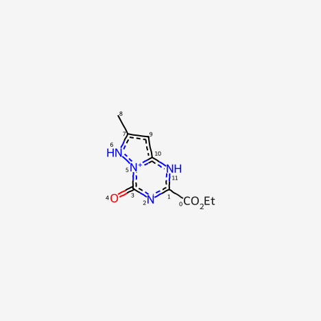 CCOC(=O)c1nc(=O)[n+]2[nH]c(C)cc2[nH]1